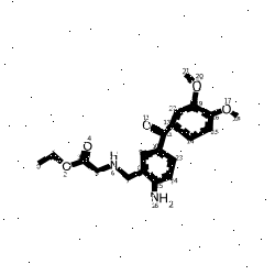 CCOC(=O)CNCc1cc(C(=O)c2ccc(OC)c(OC)c2)ccc1N